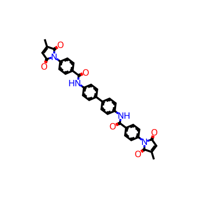 CC1=CC(=O)N(c2ccc(C(=O)Nc3ccc(-c4ccc(NC(=O)c5ccc(N6C(=O)C=C(C)C6=O)cc5)cc4)cc3)cc2)C1=O